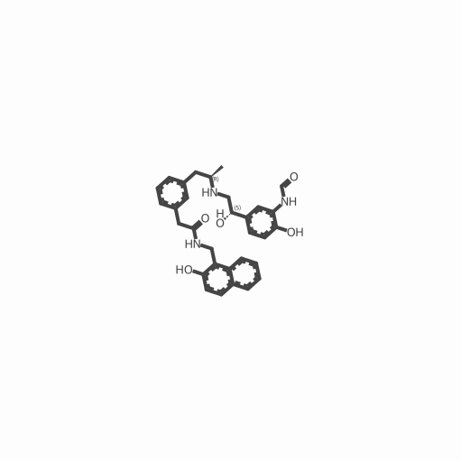 C[C@H](Cc1cccc(CC(=O)NCc2c(O)ccc3ccccc23)c1)NC[C@@H](O)c1ccc(O)c(NC=O)c1